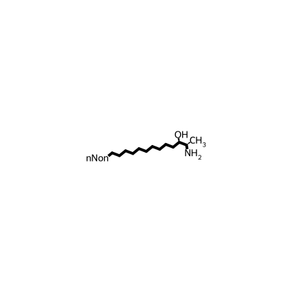 CCCCCCCCCCCCCCCCCCC[C@@H](O)[C@H](C)N